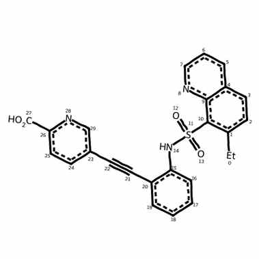 CCc1ccc2cccnc2c1S(=O)(=O)Nc1ccccc1C#Cc1ccc(C(=O)O)nc1